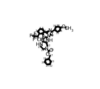 C=C(c1cccc2c1nc(N[C@@H]1CN(C(=O)OCc3ccccc3)CCNC1=O)n1nc(-c3ccc(OC)cc3)nc21)C(F)(F)F